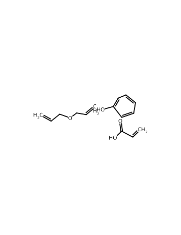 C=CC(=O)O.C=CCOCC=C.Oc1ccccc1